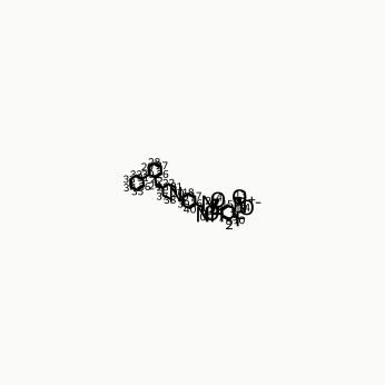 N/C(=N\S(=O)(=O)c1ccc(F)c([N+](=O)[O-])c1)c1ccc(N2CCC(=Cc3ccccc3-c3ccccc3)CC2)cc1